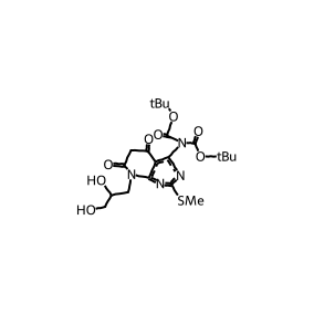 CSc1nc2c(c(N(C(=O)OC(C)(C)C)C(=O)OC(C)(C)C)n1)C(=O)CC(=O)N2CC(O)CO